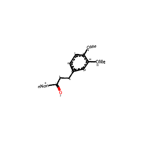 CCCCCCCCCC(=O)CCc1ccc(OC)c(OC)c1